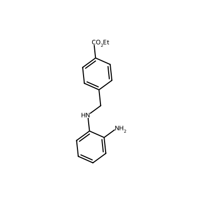 CCOC(=O)c1ccc(CNc2ccccc2N)cc1